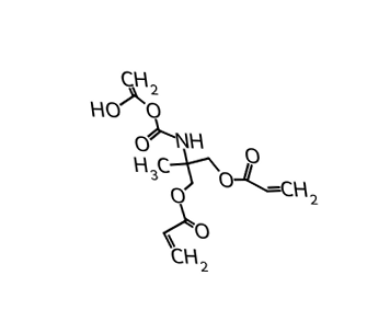 C=CC(=O)OCC(C)(COC(=O)C=C)NC(=O)OC(=C)O